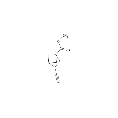 COC(=O)C12CC(C#N)C(C1)C2